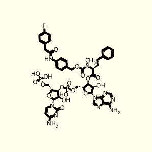 CN(C(=O)OCc1ccc(NC(=O)Cc2ccc(F)cc2)cc1)[C@@H](CCc1ccccc1)C(=O)O[C@H]1[C@@H](O)[C@H](n2cnc3c(N)ncnc32)O[C@@H]1COP(=O)(O)O[C@H]1[C@@H](O)[C@H](n2ccc(N)nc2=O)O[C@@H]1COP(=O)(O)O